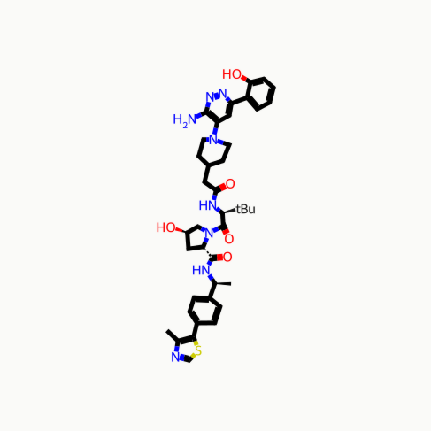 Cc1ncsc1-c1ccc([C@H](C)NC(=O)[C@@H]2C[C@@H](O)CN2C(=O)[C@@H](NC(=O)CC2CCN(c3cc(-c4ccccc4O)nnc3N)CC2)C(C)(C)C)cc1